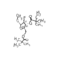 COC1O[C@H](COC(=O)C(C)(C)C)[C@@H](OC(=O)C(C)(C)C)[C@@H]1F